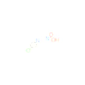 O=C(O)N1CCC2C(CCN2c2ccc(Cl)cc2)C1